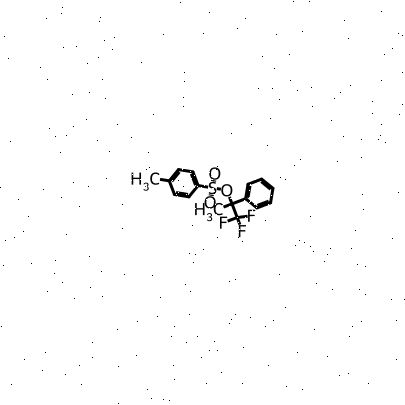 Cc1ccc(S(=O)(=O)OC(C)(c2ccccc2)C(F)(F)F)cc1